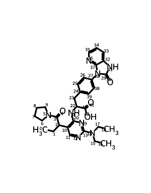 CCC(C(=O)N1CCCC1)c1cnc(N(CC)CC)nc1NC(Cc1ccc(-n2c(=O)[nH]c3cccnc32)cc1)C(=O)O